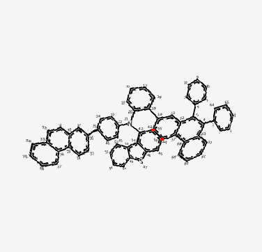 c1ccc(-c2c(-c3ccccc3)c3cc(-c4ccccc4N(c4ccc(-c5ccc6c(ccc7ccccc76)c5)cc4)c4cccc5sc6ccccc6c45)ccc3c3ccccc23)cc1